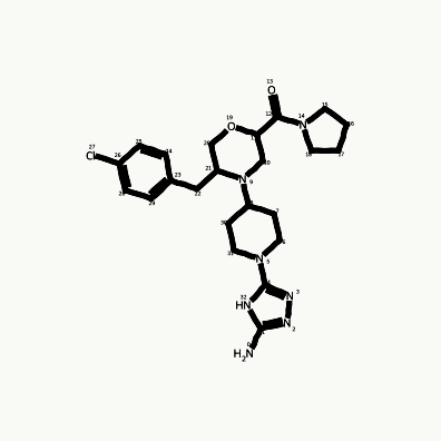 Nc1nnc(N2CCC(N3CC(C(=O)N4CCCC4)OCC3Cc3ccc(Cl)cc3)CC2)[nH]1